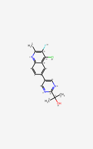 Cc1nc2ccc(-c3cnc(C(C)(C)O)nc3)cc2c(Cl)c1F